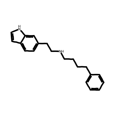 c1ccc(CCCCNCCc2ccc3cc[nH]c3c2)cc1